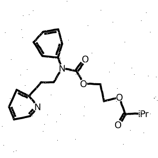 CC(C)C(=O)OCCOC(=O)N(CCc1ccccn1)c1ccccc1